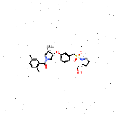 CO[C@@H]1CN(C(=O)c2cc(C)ccc2C)C[C@H]1Oc1cccc(CS(=O)(=O)N2CCC[C@@H]2CO)c1